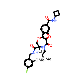 COCCN1C(=O)c2oc3cc(C(=O)NC4CCC4)ccc3c2OCC1(C)C(=O)NCc1ccc(F)cc1OC